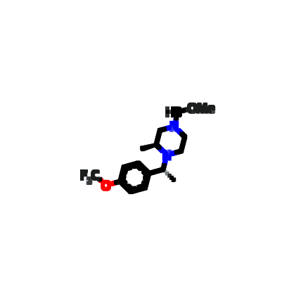 COBN1CCN([C@H](C)c2ccc(OC(F)(F)F)cc2)[C@@H](C)C1